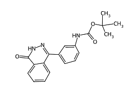 CC(C)(C)OC(=O)Nc1cccc(-c2n[nH]c(=O)c3ccccc23)c1